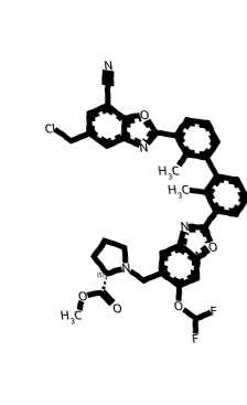 COC(=O)[C@@H]1CCCN1Cc1cc2nc(-c3cccc(-c4cccc(-c5nc6cc(CCl)cc(C#N)c6o5)c4C)c3C)oc2cc1OC(F)F